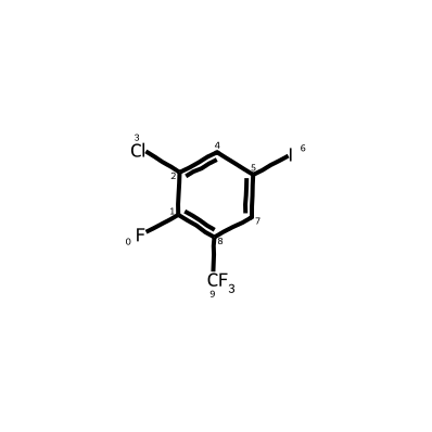 Fc1c(Cl)cc(I)cc1C(F)(F)F